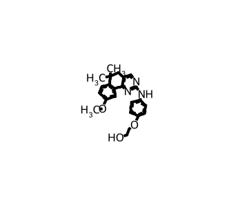 COc1ccc2c(c1)-c1nc(Nc3ccc(OCCO)cc3)ncc1CC2(C)C